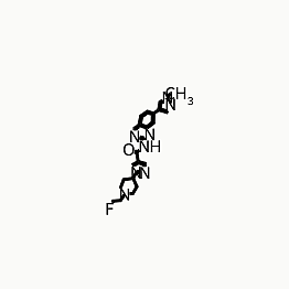 Cn1cc(-c2ccc3cnc(NC(=O)c4cnn(C5CCN(CCF)CC5)c4)nc3c2)cn1